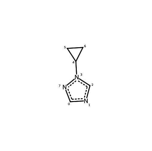 c1ncn(C2CC2)n1